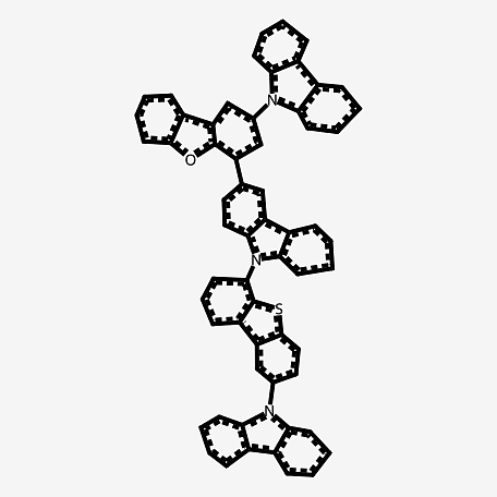 c1ccc2c(c1)oc1c(-c3ccc4c(c3)c3ccccc3n4-c3cccc4c3sc3ccc(-n5c6ccccc6c6ccccc65)cc34)cc(-n3c4ccccc4c4ccccc43)cc12